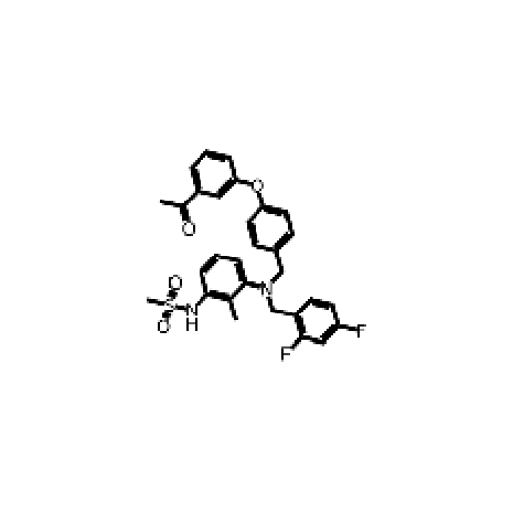 CC(=O)c1cccc(Oc2ccc(CN(Cc3ccc(F)cc3F)c3cccc(NS(C)(=O)=O)c3C)cc2)c1